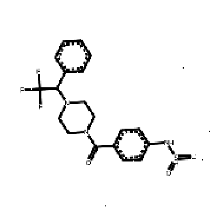 O=C(c1ccc(N[SH](=O)=O)cc1)N1CCN(C(c2ccccc2)C(F)(F)F)CC1